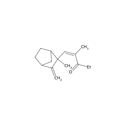 C=C1C2CCC(C2)C1(C)C=C(C)C(=O)CC